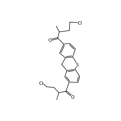 CC(CCCl)C(=O)c1ccc2c(c1)Cc1cc(C(=O)C(C)CCCl)ccc1S2